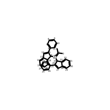 C[C](C)=[Zr]([CH]1C(c2ccccc2)=Cc2ccccc21)[CH]1C(c2ccccc2)=Cc2ccccc21